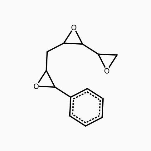 c1ccc(C2OC2CC2OC2C2CO2)cc1